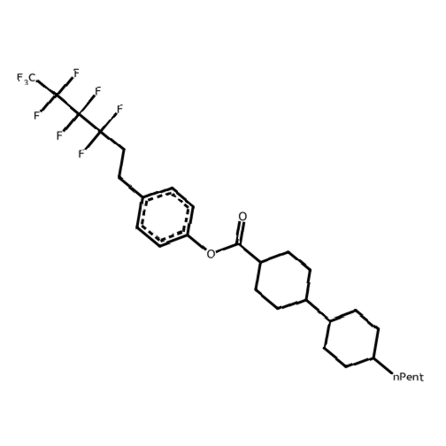 CCCCCC1CCC(C2CCC(C(=O)Oc3ccc(CCC(F)(F)C(F)(F)C(F)(F)C(F)(F)F)cc3)CC2)CC1